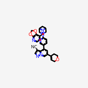 N#Cc1cnn2cc(C3=CCOCC3)cc(-c3ccc(N4CC5CC(C4)N5Cc4ccnc5c4OCO5)nc3)c12